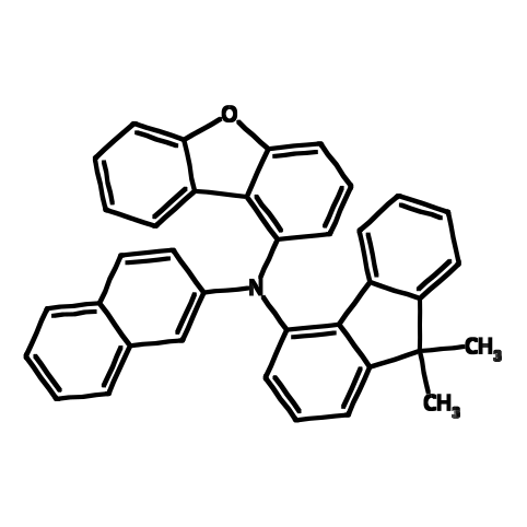 CC1(C)c2ccccc2-c2c(N(c3ccc4ccccc4c3)c3cccc4oc5ccccc5c34)cccc21